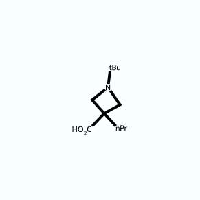 CCCC1(C(=O)O)CN(C(C)(C)C)C1